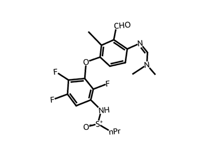 CCC[S+]([O-])Nc1cc(F)c(F)c(Oc2ccc(/N=C\N(C)C)c(C=O)c2C)c1F